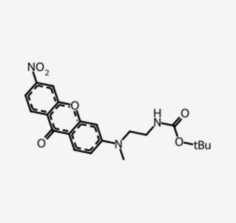 CN(CCNC(=O)OC(C)(C)C)c1ccc2c(=O)c3ccc([N+](=O)[O-])cc3oc2c1